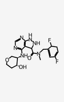 CN(CC1=CC(F)=CCC1F)C(=O)C1NNc2ncnc(N[C@@H]3COCC[C@H]3O)c21